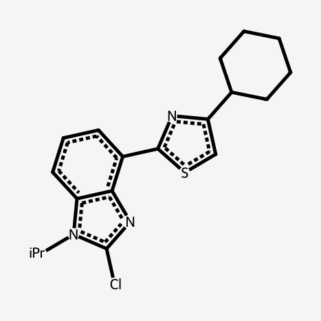 CC(C)n1c(Cl)nc2c(-c3nc(C4CCCCC4)cs3)cccc21